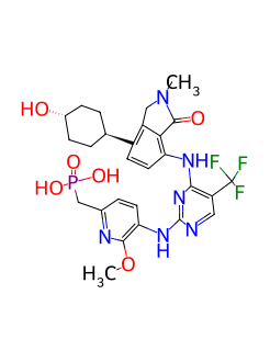 COc1nc(CP(=O)(O)O)ccc1Nc1ncc(C(F)(F)F)c(Nc2ccc([C@H]3CC[C@H](O)CC3)c3c2C(=O)N(C)C3)n1